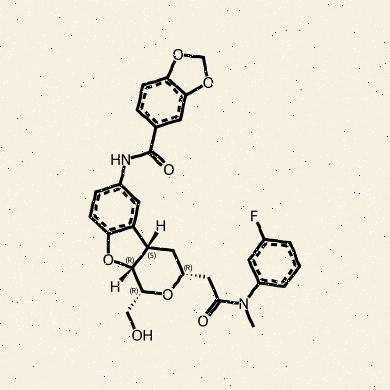 CN(C(=O)C[C@H]1C[C@H]2c3cc(NC(=O)c4ccc5c(c4)OCO5)ccc3O[C@H]2[C@@H](CO)O1)c1cccc(F)c1